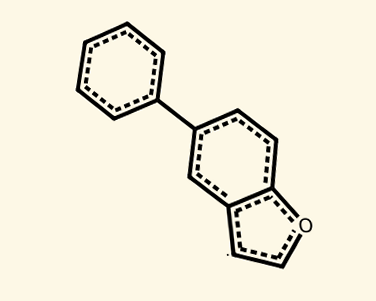 [c]1coc2ccc(-c3ccccc3)cc12